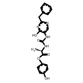 N[C@@H](NC(=O)Nc1cnc(Cc2ccccc2)nc1O)C(=O)Oc1ccc(O)cc1